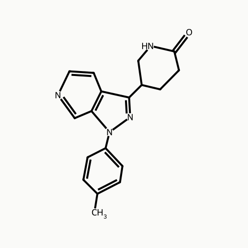 Cc1ccc(-n2nc(C3CCC(=O)NC3)c3ccncc32)cc1